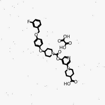 O=C(O)C(=O)O.O=C(O)C1CCN(c2cncc(OC(=O)N3CCC(Oc4ccc(OCc5cccc(F)c5)cc4)CC3)c2)CC1